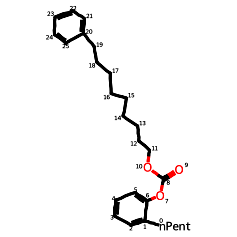 CCCCCc1ccccc1OC(=O)OCCCCCCCCCc1ccccc1